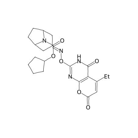 CCc1cc(=O)oc2nc(ON=C3CC4CCC(C3)N4C(=O)OC3CCCC3)[nH]c(=O)c12